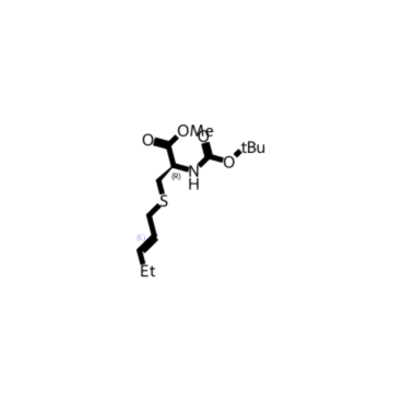 CC/C=C/CSC[C@H](NC(=O)OC(C)(C)C)C(=O)OC